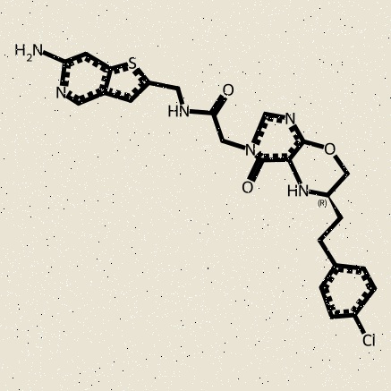 Nc1cc2sc(CNC(=O)Cn3cnc4c(c3=O)N[C@H](CCc3ccc(Cl)cc3)CO4)cc2cn1